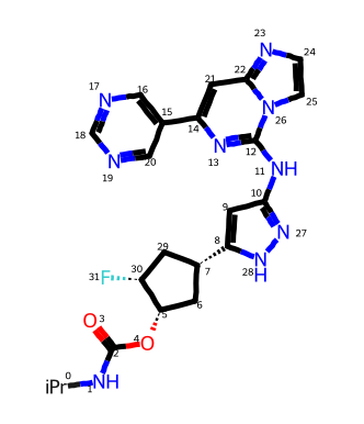 CC(C)NC(=O)O[C@H]1C[C@@H](c2cc(Nc3nc(-c4cncnc4)cc4nccn34)n[nH]2)C[C@H]1F